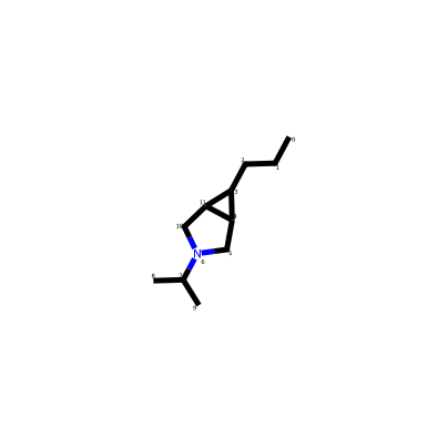 CCCC1C2CN(C(C)C)CC12